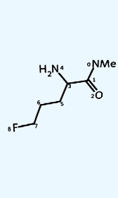 CNC(=O)C(N)CCCF